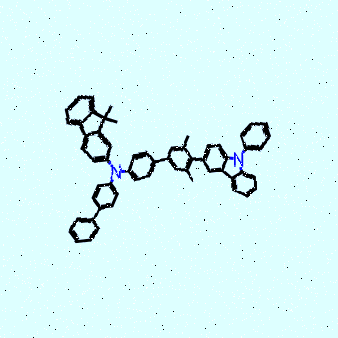 Cc1cc(-c2ccc(N(c3ccc(-c4ccccc4)cc3)c3ccc4c(c3)C(C)(C)c3ccccc3-4)cc2)cc(C)c1-c1ccc2c(c1)c1ccccc1n2-c1ccccc1